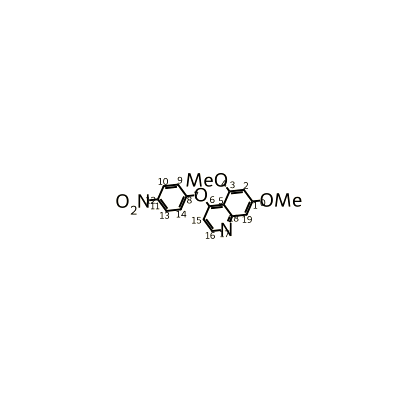 COc1cc(OC)c2c(Oc3ccc([N+](=O)[O-])cc3)ccnc2c1